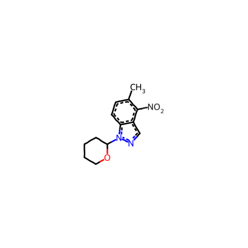 Cc1ccc2c(cnn2C2CCCCO2)c1[N+](=O)[O-]